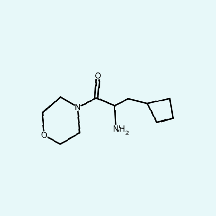 NC(CC1CCC1)C(=O)N1CCOCC1